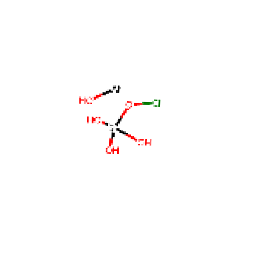 O[Si](O)(O)OCl.[OH][Al]